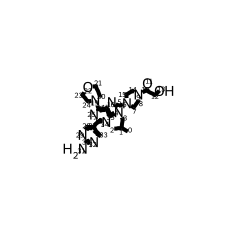 CC(C)Cn1c(N2CCN(C(=O)CO)CC2)nc2c(N3CCOCC3)nc(-c3cnc(N)nc3)nc21